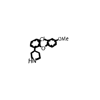 COc1ccc(Oc2ccccc2C2CCNCC2)c(Cl)c1